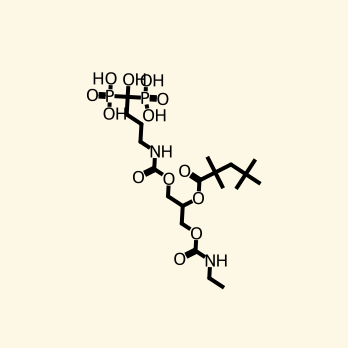 CCNC(=O)OCC(COC(=O)NCCCC(O)(P(=O)(O)O)P(=O)(O)O)OC(=O)C(C)(C)CC(C)(C)C